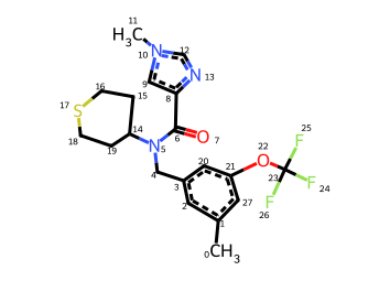 Cc1cc(CN(C(=O)c2cn(C)cn2)C2CCSCC2)cc(OC(F)(F)F)c1